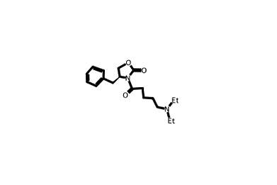 CCN(CC)CCCCC(=O)N1C(=O)OC[C@@H]1Cc1ccccc1